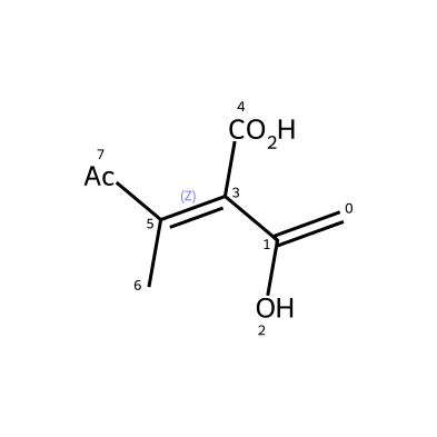 C=C(O)/C(C(=O)O)=C(\C)C(C)=O